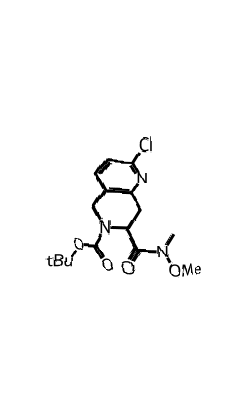 CON(C)C(=O)C1Cc2nc(Cl)ccc2CN1C(=O)OC(C)(C)C